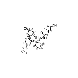 O=C(CN1CCC(O)C1)NCc1c(C(=O)Nc2ccc(Cl)cc2N2CCN(CCC(F)(F)F)CC2)ccc(F)c1F